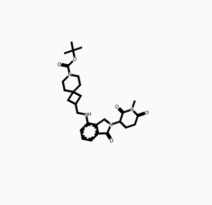 CN1C(=O)CCC(N2Cc3c(NCC4CC5(CCN(C(=O)OC(C)(C)C)CC5)C4)cccc3C2=O)C1=O